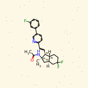 CC(=O)N[C@]1(C)C[C@@H]2CC(F)(F)CC[C@H]2[C@@H]1C=Cc1ccc(-c2cccc(F)c2)cn1